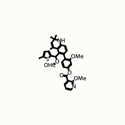 COc1cc(OC(=O)c2cccnc2OC)ccc1-c1ccc2c(c1C(OC=O)c1ccc(C)s1)C(C)=CC(C)(C)N2